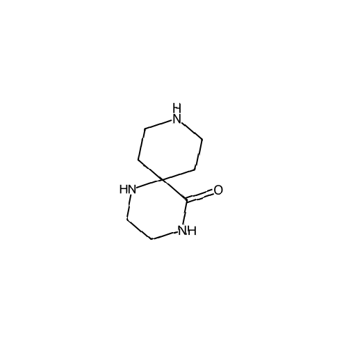 O=C1NCCNC12CCNCC2